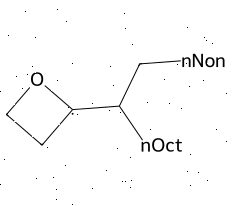 CCCCCCCCCCC(CCCCCCCC)[C]1CCO1